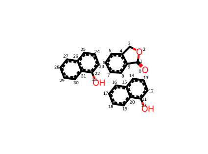 O=C1OCc2ccccc21.Oc1cccc2ccccc12.Oc1cccc2ccccc12